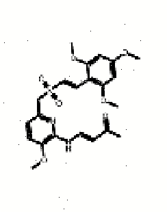 COc1cc(OC)c(C=CS(=O)(=O)Cc2ccc(OC)c(NC=CC(C)=O)n2)c(OC)c1